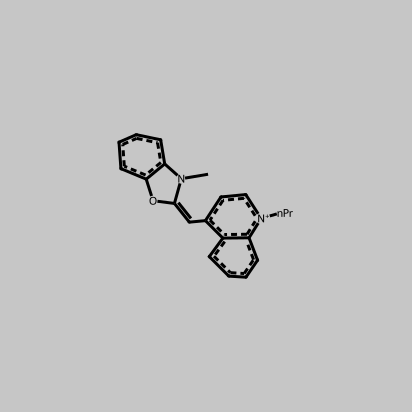 CCC[n+]1ccc(/C=C2/Oc3ccccc3N2C)c2ccccc21